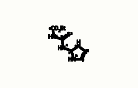 CCOC(=O)NC(=S)NC1NC=NN1